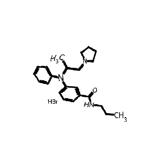 Br.CCCNC(=O)c1cccc(N(c2ccccc2)C(C)CN2CCCC2)c1